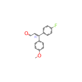 COc1ccc(/C(=C\C=O)c2ccc(F)cc2)cc1